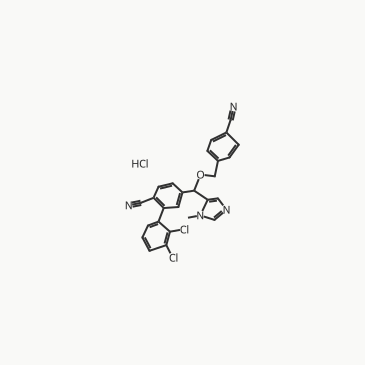 Cl.Cn1cncc1C(OCc1ccc(C#N)cc1)c1ccc(C#N)c(-c2cccc(Cl)c2Cl)c1